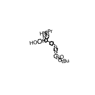 CCCNc1ncc2c(-c3ccc(CN4CCN(C5CCCN(C(=O)OC(C)(C)C)C5)CC4)cc3)cn([C@H]3CC[C@H](O)CC3)c2n1